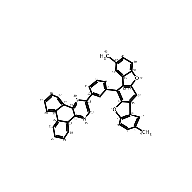 Cc1ccc2oc3c(-c4cccc(-c5cnc6c7ccccc7c7ccccc7c6n5)c4)c4c(cc3c2c1)oc1ccc(C)cc14